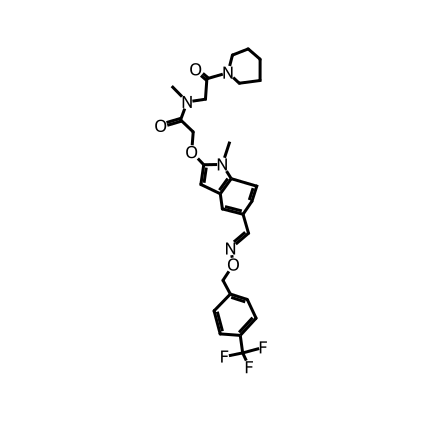 CN(CC(=O)N1CCCCC1)C(=O)COc1cc2cc(C=NOCc3ccc(C(F)(F)F)cc3)ccc2n1C